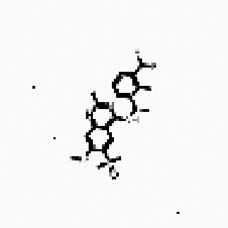 COc1cc2nc(C)nc(N[C@H](C)c3cccc(C(F)F)c3C)c2cc1P(C)(C)=O